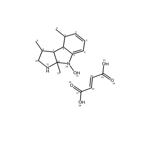 CC1C=CC=C2C1C1C(C)CNC1(C)N2O.O=C(O)C=CC(=O)O